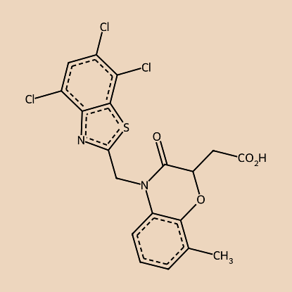 Cc1cccc2c1OC(CC(=O)O)C(=O)N2Cc1nc2c(Cl)cc(Cl)c(Cl)c2s1